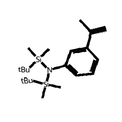 C=C(C)c1cccc(N([Si](C)(C)C(C)(C)C)[Si](C)(C)C(C)(C)C)c1